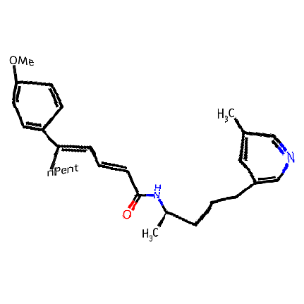 CCCCC/C(=C\C=C\C(=O)N[C@H](C)CCCc1cncc(C)c1)c1ccc(OC)cc1